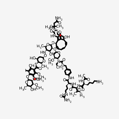 CCN(C(=O)OCc1ccc(NC(=O)[C@H](CCCNC(N)=O)NC(=O)[C@@H](NC(=O)[C@H](CCCCN)NC(C)=O)C(C)C)cc1)[C@H]1CO[C@@H](O[C@H]2[C@H](O[C@H]3C#C/C=C\C#C[C@]4(O)CC(=O)C(NCOC)=C3/C4=C\CSSC(C)(C)CC(N)=O)O[C@H](C)[C@@H](NO[C@H]3C[C@H](O)[C@H](SC(=O)c4c(C)c(I)c(O[C@@H]5O[C@@H](C)[C@H](O)[C@@H](OC)[C@H]5O)c(OC)c4OC)[C@@H](C)O3)[C@@H]2O)C[C@@H]1OC